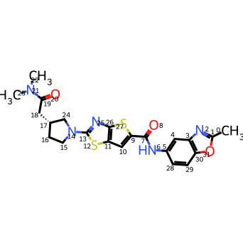 Cc1nc2cc(NC(=O)c3cc4sc(N5CC[C@H](CC(=O)N(C)C)C5)nc4s3)ccc2o1